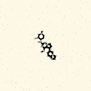 COc1nc(N[C@H]2CCN(C)C[C@@H]2F)nn2ccc(-c3ccc4nccn4c3)c12